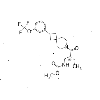 CC[C@H](CNC(=O)OC)C(=O)N1CCC2(CC1)CC(c1cccc(OC(F)(F)F)c1)C2